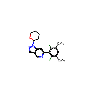 COc1cc(OC)c(F)c(-c2cc3c(cn2)cnn3C2CCCCO2)c1F